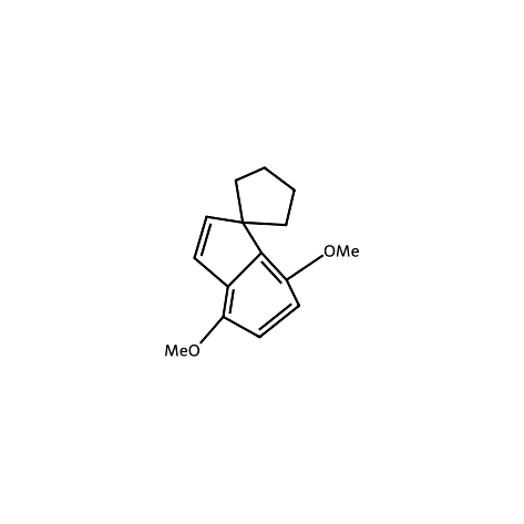 COc1ccc(OC)c2c1C=CC21CCCC1